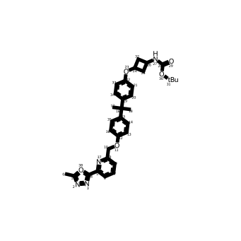 Cc1nnc(-c2cccc(COc3ccc(C(C)(C)c4ccc(OC5CC(NC(=O)OC(C)(C)C)C5)cc4)cc3)n2)o1